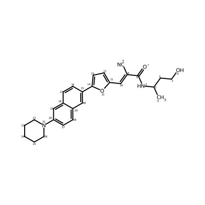 CC(CCO)NC(=O)/C(C#N)=C/c1ccc(-c2ccc3cc(N4CCCCC4)ccc3c2)o1